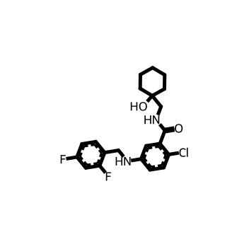 O=C(NCC1(O)CCCCC1)c1cc(NCc2ccc(F)cc2F)ccc1Cl